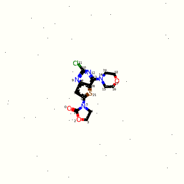 O=C1OCCN1c1cc2nc(Cl)nc(N3CCOCC3)c2s1